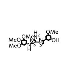 COc1cc(O)cc(-c2csc(-c3sc(Nc4cc(OC)c(OC)c(OC)c4)nc3N)n2)c1